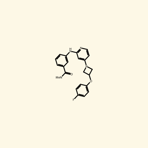 CNC(=O)c1cccc(Nc2cc(N3CC(Oc4ccc(F)cc4)C3)ccn2)c1